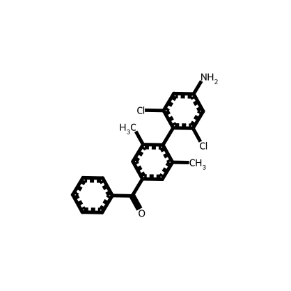 Cc1cc(C(=O)c2ccccc2)cc(C)c1-c1c(Cl)cc(N)cc1Cl